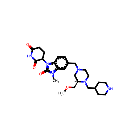 COC[C@H]1CN(Cc2ccc3c(c2)n(C)c(=O)n3C2CCC(=O)NC2=O)CCN1CC1CCNCC1